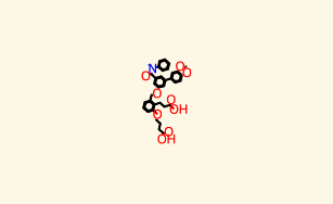 CN(C(=O)c1cc(OCc2cccc(OCCCC(=O)O)c2CCC(=O)O)cc(-c2ccc3c(c2)OCO3)c1)c1ccccc1